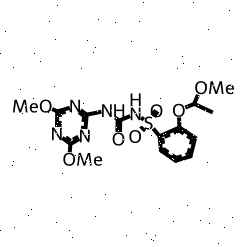 COc1nc(NC(=O)NS(=O)(=O)c2ccccc2OC(C)OC)nc(OC)n1